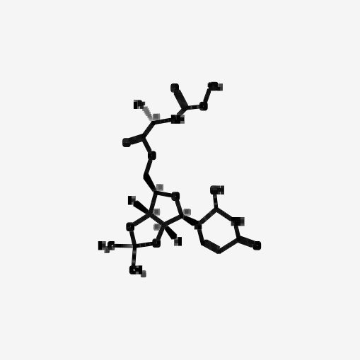 CC(C)[C@H](NC(=O)OC(C)(C)C)C(=O)OC[C@H]1O[C@@H](N2C=CC(=O)NC2O)[C@@H]2OC(C)(C)O[C@@H]21